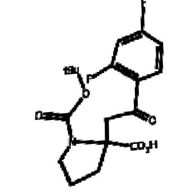 CC(C)(C)OC(=O)N1CCCC1(CC(=O)c1ccc(F)cc1F)C(=O)O